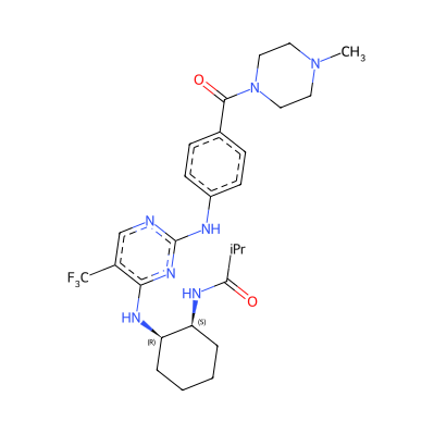 CC(C)C(=O)N[C@H]1CCCC[C@H]1Nc1nc(Nc2ccc(C(=O)N3CCN(C)CC3)cc2)ncc1C(F)(F)F